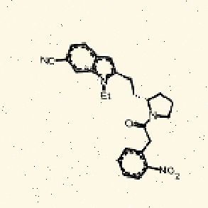 CCn1c(CC[C@@H]2CCCN2C(=O)Cc2ccccc2[N+](=O)[O-])cc2ccc(C#N)cc21